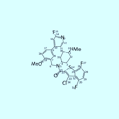 CN[C@H]1CC[C@H](N(Cc2cc(-c3ccnc(F)c3)ccc2OC)C(=O)c2sc3c(F)ccc(F)c3c2Cl)CC1